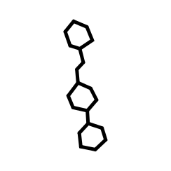 C1CCC(CCC2CCC(C3CCCCC3)CC2)CC1